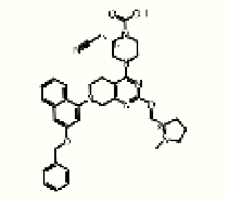 CN1CCC[C@@H]1COc1nc2c(c(N3CCN(C(=O)O)[C@@H](CC#N)C3)n1)CCN(c1cc(OCc3ccccc3)cc3ccccc13)C2